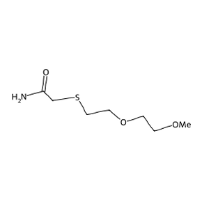 COCCOCCSCC(N)=O